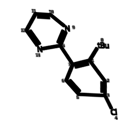 CC(C)(C)c1cc(Cl)ccc1-c1ncccn1